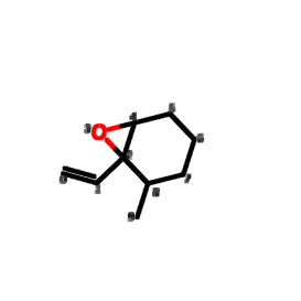 C=CC12OC1CCCC2C